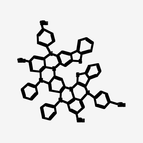 CC(C)(C)c1ccc(N2c3cc4c(cc3B3c5cc6c(cc5N(c5ccccc5)c5cc(C(C)(C)C)cc2c53)N(c2ccccc2)c2cc(C(C)(C)C)cc3c2B6c2sc5ccccc5c2N3c2ccc(C(C)(C)C)cc2)sc2ccccc24)cc1